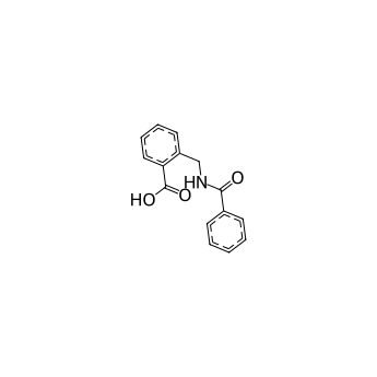 O=C(NCc1ccccc1C(=O)O)c1ccccc1